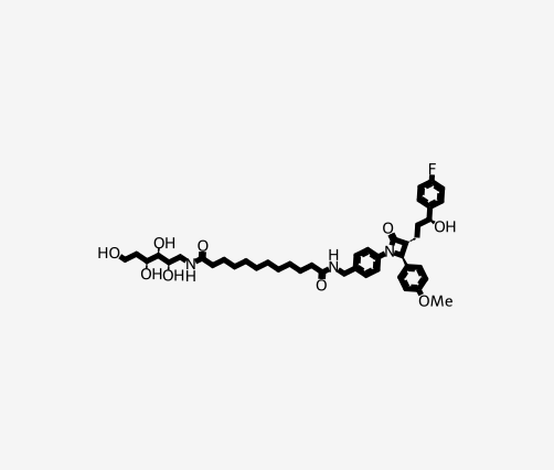 COc1ccc([C@@H]2[C@@H](CC[C@H](O)c3ccc(F)cc3)C(=O)N2c2ccc(CNC(=O)CCCCCCCCCCC(=O)NC[C@H](O)[C@@H](O)[C@H](O)CCO)cc2)cc1